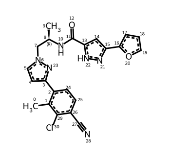 Cc1c(-c2ccn(C[C@@H](C)NC(=O)c3cc(-c4ccco4)n[nH]3)n2)ccc(C#N)c1Cl